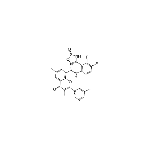 Cc1cc(C(C)Nc2ccc(F)c(F)c2-c2noc(=O)[nH]2)c2oc(-c3cncc(F)c3)c(C)c(=O)c2c1